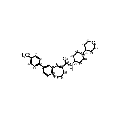 Cc1ccc(-c2ccc3c(c2)C=C(C(=O)NC2CCN(C4CCOCC4)CC2)CCO3)cc1